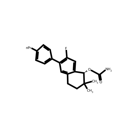 CCCc1ccc(-c2cc3c(cc2F)[C@H](OC(N)=O)C(C)(C)CC3)cc1